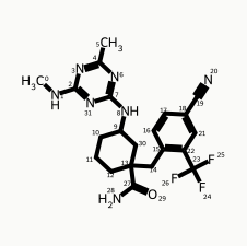 CNc1nc(C)nc(NC2CCCC(Cc3ccc(C#N)cc3C(F)(F)F)(C(N)=O)C2)n1